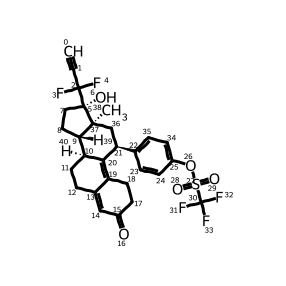 C#CC(F)(F)[C@]1(O)CC[C@H]2[C@@H]3CCC4=CC(=O)CCC4=C3[C@H](c3ccc(OS(=O)(=O)C(F)(F)F)cc3)C[C@@]21C